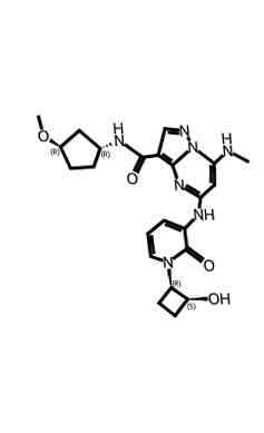 CNc1cc(Nc2cccn([C@@H]3CC[C@@H]3O)c2=O)nc2c(C(=O)N[C@@H]3CC[C@@H](OC)C3)cnn12